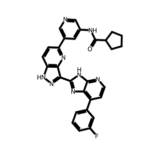 O=C(Nc1cncc(-c2ccc3[nH]nc(-c4nc5c(-c6cccc(F)c6)ccnc5[nH]4)c3n2)c1)C1CCCC1